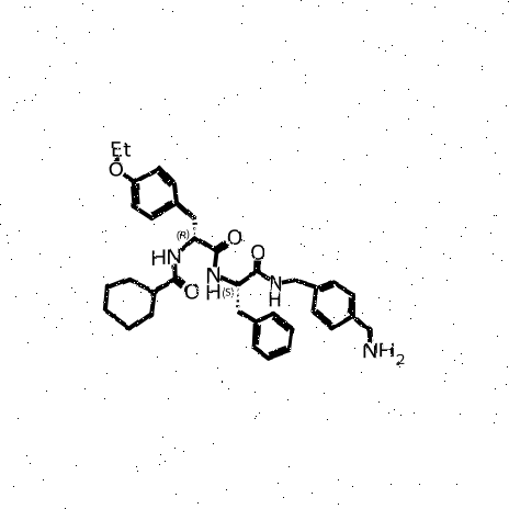 CCOc1ccc(C[C@@H](NC(=O)C2CCCCC2)C(=O)N[C@@H](Cc2ccccc2)C(=O)NCc2ccc(CN)cc2)cc1